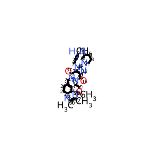 CC#CCn1c(N2CCCC(N)C2)nc2c(=O)n(CCOC)n(Cc3ccc4nc(C)c(C)nc4c3)c(=O)c21